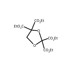 CCOC(=O)C1(C(=O)OCC)COC(C(=O)OCC)(C(=O)OCC)O1